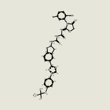 Cc1ccc(C(C)C)c(N2C(=O)CS/C2=N\C(=S)NC(=O)NC2Cc3ccc(-c4ncn(-c5ccc(OC(F)(F)C(F)(F)F)cc5)n4)cc3C2)c1